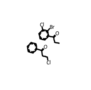 CCC(=O)c1cccc(Cl)c1Br.O=C(CCCl)c1ccccc1